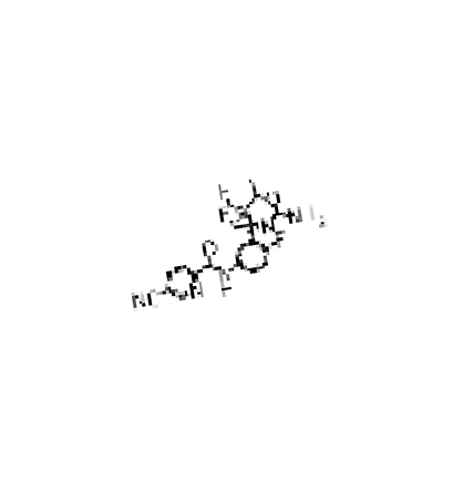 C[C@H]1OC(N)=N[C@](CF)(c2cc(NC(=O)c3ccc(C#N)cn3)ccc2F)[C@H]1CF